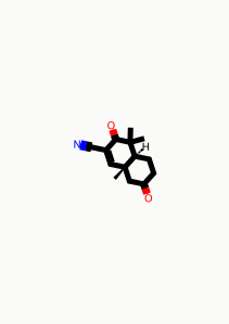 CC1(C)C(=O)C(C#N)=C[C@@]2(C)CC(=O)CC[C@H]12